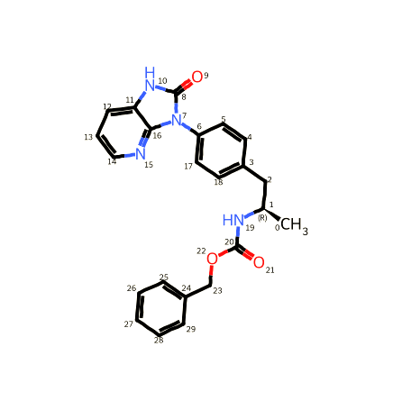 C[C@H](Cc1ccc(-n2c(=O)[nH]c3cccnc32)cc1)NC(=O)OCc1ccccc1